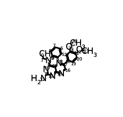 CCN(c1ccccc1)c1nc(N)nc2ncc(-c3ccc(OC)c(OC)c3)nc12